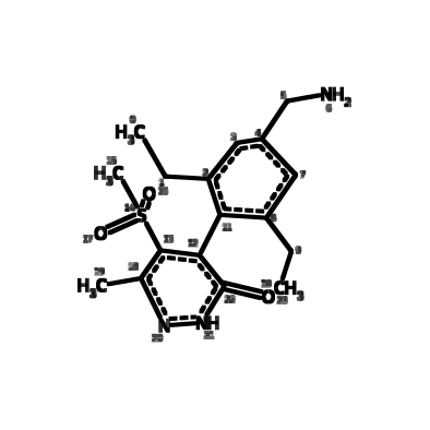 CCc1cc(CN)cc(CC)c1-c1c(S(C)(=O)=O)c(C)n[nH]c1=O